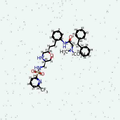 CN(C(=O)O)[C@H](C(=O)Nc1ccccc1CC[C@@H]1CN[C@H](CNS(=O)(=O)c2cccc(C(F)(F)F)n2)CO1)C(c1ccccc1)c1ccccc1